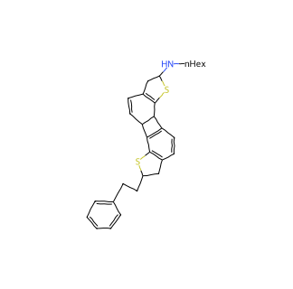 CCCCCCNC1CC2=C(S1)C1c3ccc4c(c3C1C=C2)SC(CCc1ccccc1)C4